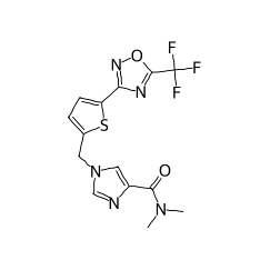 CN(C)C(=O)c1cn(Cc2ccc(-c3noc(C(F)(F)F)n3)s2)cn1